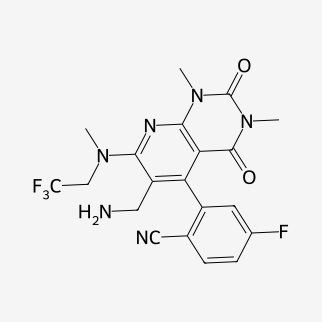 CN(CC(F)(F)F)c1nc2c(c(-c3cc(F)ccc3C#N)c1CN)c(=O)n(C)c(=O)n2C